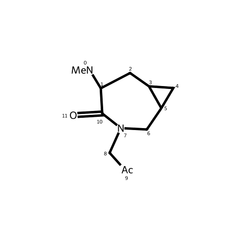 CNC1CC2CC2CN(CC(C)=O)C1=O